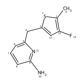 Cc1sc(Cc2cccc(N)n2)cc1F